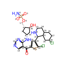 NS(=O)(=O)OC[C@H]1C[C@@H](Nc2ncncc2C(=O)c2cc(C3NCCC4CCC(Cl)CC43)c(Cl)s2)C[C@@H]1O